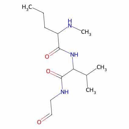 CCCC(NC)C(=O)NC(C(=O)NCC=O)C(C)C